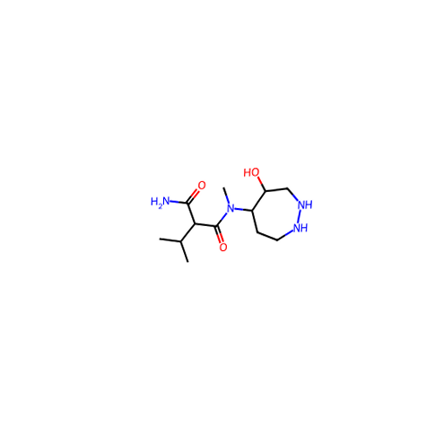 CC(C)C(C(N)=O)C(=O)N(C)C1CCNNCC1O